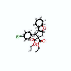 CCOC(=O)C1(C(=O)OCC)Cc2oc3ccccc3c2C1c1ccc(Br)cc1